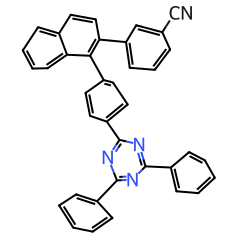 N#Cc1cccc(-c2ccc3ccccc3c2-c2ccc(-c3nc(-c4ccccc4)nc(-c4ccccc4)n3)cc2)c1